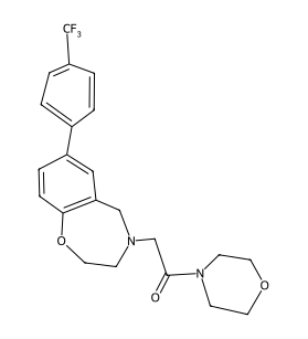 O=C(CN1CCOc2ccc(-c3ccc(C(F)(F)F)cc3)cc2C1)N1CCOCC1